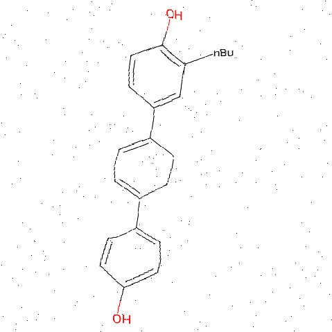 CCCCc1cc(C2=CC=C(c3ccc(O)cc3)CC2)ccc1O